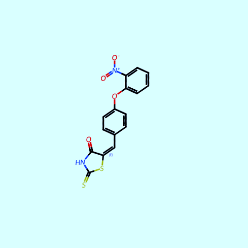 O=C1NC(=S)S/C1=C/c1ccc(Oc2ccccc2[N+](=O)[O-])cc1